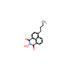 CCCCc1ccc2c3c(cccc13)C(=O)N(O)C2=O